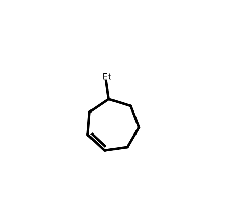 CCC1CC=CCCC1